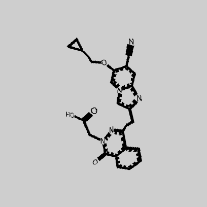 N#Cc1cc2nc(Cc3nn(CC(=O)O)c(=O)c4ccccc34)cn2cc1OCC1CC1